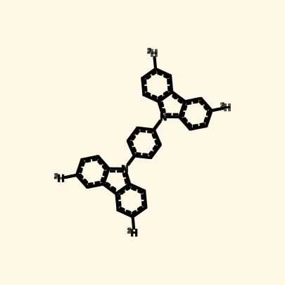 [2H]c1ccc2c(c1)c1cc([2H])ccc1n2-c1ccc(-n2c3ccc([2H])cc3c3cc([2H])ccc32)cc1